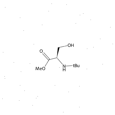 COC(=O)[C@@H](CO)NC(C)(C)C